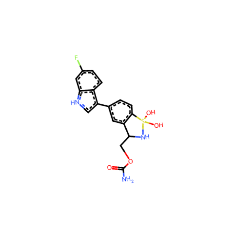 NC(=O)OCC1NS(O)(O)c2ccc(-c3c[nH]c4cc(F)ccc34)cc21